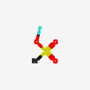 CCS(=O)(=O)OF